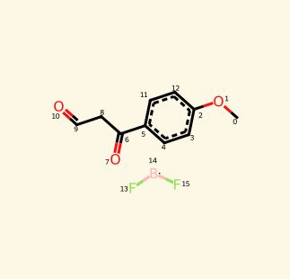 COc1ccc(C(=O)CC=O)cc1.F[B]F